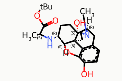 C[C@H](N[C@@H]1CC[C@@]2(O)[C@H]3Cc4ccc(O)c5c4[C@@]2(CCN3C)[C@H]1O5)C(=O)OC(C)(C)C